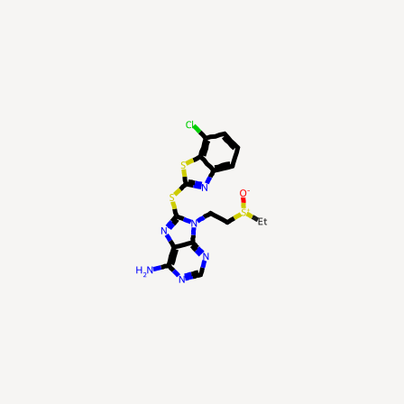 CC[S+]([O-])CCn1c(Sc2nc3cccc(Cl)c3s2)nc2c(N)ncnc21